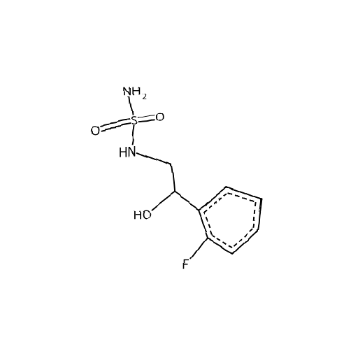 NS(=O)(=O)NCC(O)c1ccccc1F